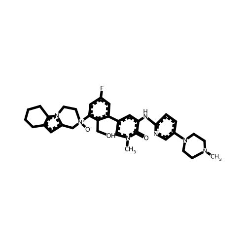 CN1CCN(c2ccc(Nc3cc(-c4cc(F)cc([N+]5([O-])CCn6c(cc7c6CCCC7)C5)c4CO)cn(C)c3=O)nc2)CC1